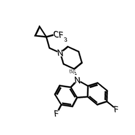 Fc1ccc2c(c1)c1cc(F)ccc1n2[C@H]1CCCN(CC2(C(F)(F)F)CC2)C1